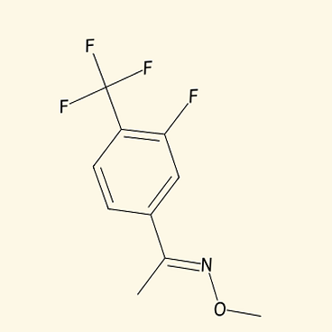 CON=C(C)c1ccc(C(F)(F)F)c(F)c1